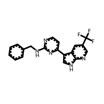 FC(F)(F)c1cnc2[nH]cc(-c3ccnc(NCc4ccccc4)n3)c2c1